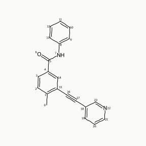 Cc1ccc(C(=O)Nc2ccccc2)cc1C#Cc1cccnc1